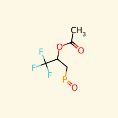 CC(=O)OC(CP=O)C(F)(F)F